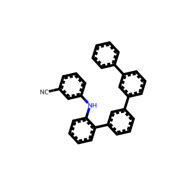 N#Cc1cccc(Nc2ccccc2-c2cccc(-c3cccc(-c4ccccc4)c3)c2)c1